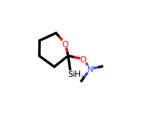 CN(C)OC1([SiH3])CCCCO1